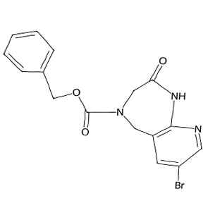 O=C1CN(C(=O)OCc2ccccc2)Cc2cc(Br)cnc2N1